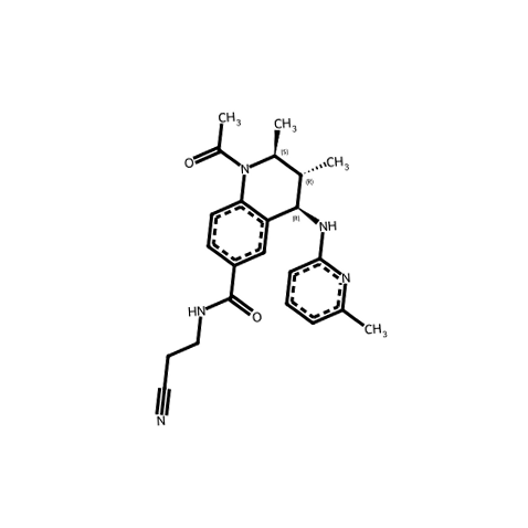 CC(=O)N1c2ccc(C(=O)NCCC#N)cc2[C@H](Nc2cccc(C)n2)[C@@H](C)[C@@H]1C